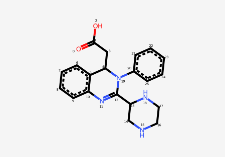 O=C(O)CC1c2ccccc2N=C(C2CNCCN2)N1c1ccccc1